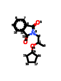 CC(CN1C(=O)c2ccccc2C1=O)OC1CCCC1